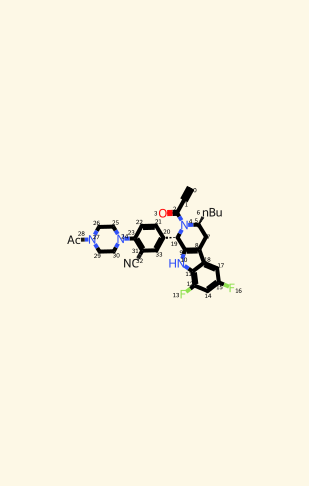 C#CC(=O)N1[C@@H](CCCC)Cc2c([nH]c3c(F)cc(F)cc23)[C@@H]1c1ccc(N2CCN(C(C)=O)CC2)c(C#N)c1